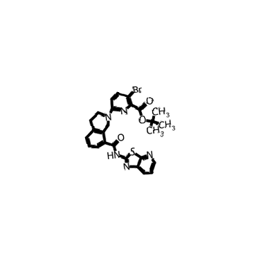 CC(C)(C)OC(=O)c1nc(N2CCc3cccc(C(=O)Nc4nc5cccnc5s4)c3C2)ccc1Br